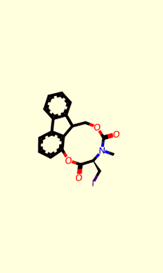 CN1C(=O)OCC2c3ccccc3-c3cccc(c32)OC(=O)[C@@H]1CI